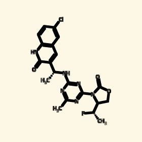 Cc1nc(N[C@H](C)c2cc3cc(Cl)ccc3[nH]c2=O)nc(N2C(=O)OCC2[C@H](C)F)n1